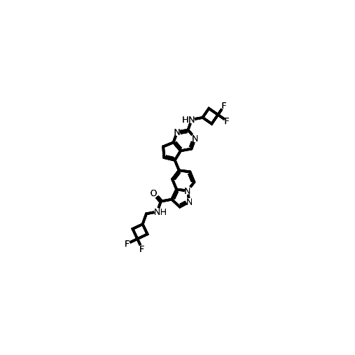 O=C(NCC1CC(F)(F)C1)c1cnn2ccc(C3=CCc4nc(NC5CC(F)(F)C5)ncc43)cc12